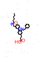 CCCCCC(=O)N(C)Cc1cccc(-c2ccc(CCC(=O)O)cc2NCc2ccccc2)c1